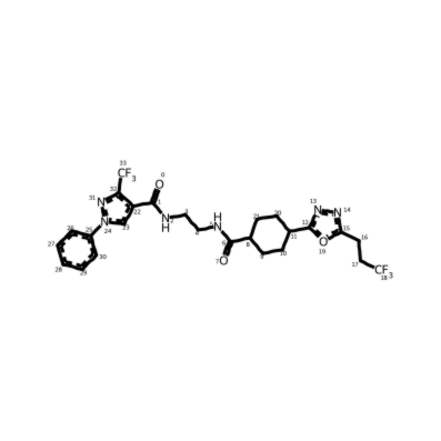 O=C(NCCNC(=O)C1CCC(c2nnc(CCC(F)(F)F)o2)CC1)c1cn(-c2ccccc2)nc1C(F)(F)F